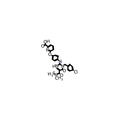 CN(C)C(=O)c1c[nH]/c(=N\c2ccc(Oc3cccc(C(=O)O)n3)cc2)n(Cc2ccc(Cl)cc2)c1=O